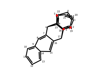 c1cnc2c(c1)C1c3cc4ccccc4cc3C2c2cncnc21